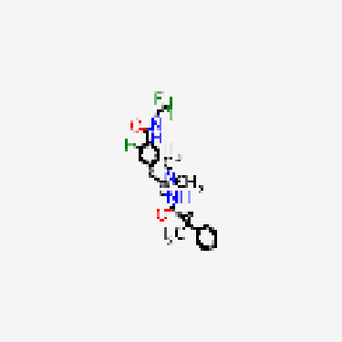 CN(C)[C@H](CNC(=O)[C@@H]1C[C@]1(C)c1ccccc1)Cc1ccc(C(=O)NCC(F)(F)F)c(F)c1